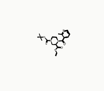 CCOC(=O)C1CN(C(=O)OC(C)(C)C)CCN1C(=O)c1cccnc1C